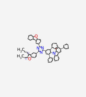 C=C/C=c1\c(=C/C)oc2ccc(-c3nc(-c4cc(-c5ccccc5)c(-n5c6ccccc6c6cc(-c7ccccc7)ccc65)c(-c5ccccc5)c4)nc(-c4ccc5oc6ccccc6c5c4)n3)cc12